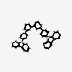 C1=CC2c3ccccc3N(c3ccc(-c4cccc(-c5cccc(-c6ccc(-n7c8c(c9ccccc97)C=CCC8)cc6)c5)c4)cc3)C2C=C1